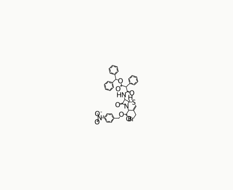 O=C(NC1C(=O)N2C(C(=O)OCc3ccc([N+](=O)[O-])cc3)C(CBr)=CS[C@@H]12)C(C(=O)OC(c1ccccc1)c1ccccc1)c1ccccc1